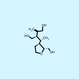 C=C(CO)[C@H](CO)[C@H](C)[C@@H]1CCO[C@H]1CO